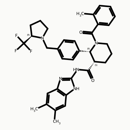 Cc1cc2nc(NC(=O)[C@H]3CCCN(C(=O)c4ccccc4C)[C@H]3c3ccc(CN4CCC[C@@H]4C(F)(F)F)cc3)[nH]c2cc1C